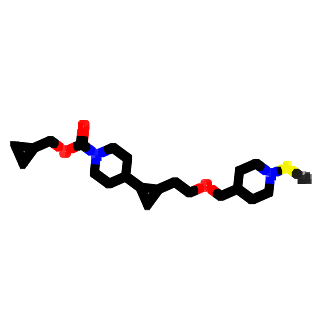 CCSN1CCC(COCCC2CC2C2CCN(C(=O)OCC3CC3)CC2)CC1